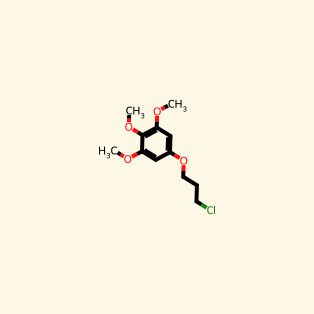 COc1cc(OCCCCl)cc(OC)c1OC